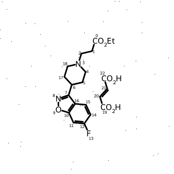 CCOC(=O)CCN1CCC(c2noc3cc(F)ccc23)CC1.O=C(O)C=CC(=O)O